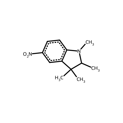 CC1N(C)c2ccc([N+](=O)[O-])cc2C1(C)C